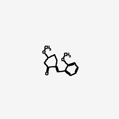 COc1ccccc1C=C1CCC(OC)CC1=O